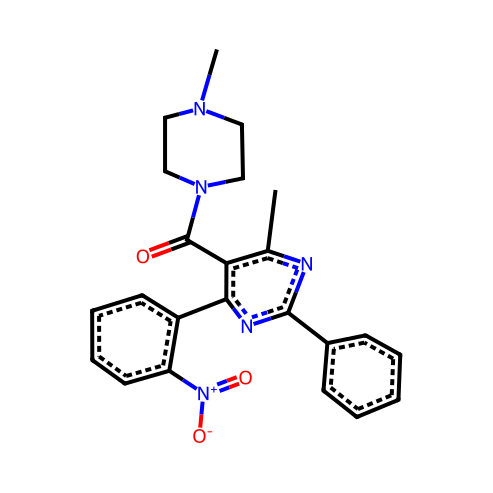 Cc1nc(-c2ccccc2)nc(-c2ccccc2[N+](=O)[O-])c1C(=O)N1CCN(C)CC1